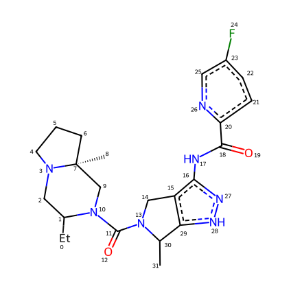 CCC1CN2CCC[C@@]2(C)CN1C(=O)N1Cc2c(NC(=O)c3ccc(F)cn3)n[nH]c2C1C